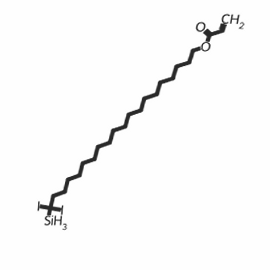 C=CC(=O)OCCCCCCCCCCCCCCCCCCCC([SiH3])(I)I